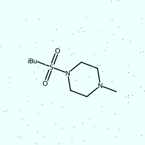 CCC(C)S(=O)(=O)N1CCN(C)CC1